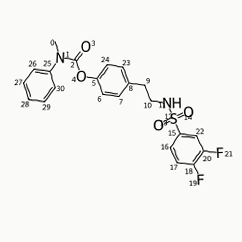 CN(C(=O)Oc1ccc(CCNS(=O)(=O)c2ccc(F)c(F)c2)cc1)c1ccccc1